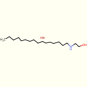 Br.CCCCCCCCCCCCCCCCNCCO